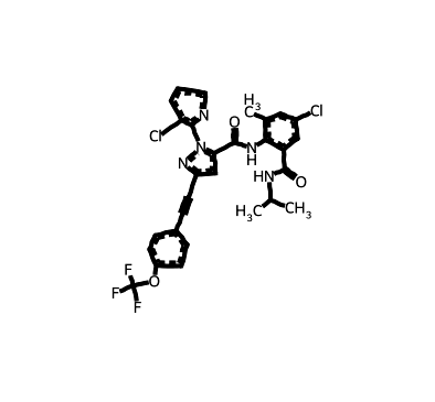 Cc1cc(Cl)cc(C(=O)NC(C)C)c1NC(=O)c1cc(C#Cc2ccc(OC(F)(F)F)cc2)nn1-c1ncccc1Cl